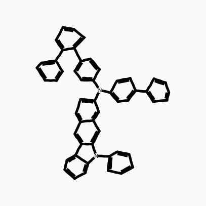 c1ccc(-c2ccc(N(c3ccc(-c4ccccc4-c4ccccc4)cc3)c3ccc4cc5c6ccccc6n(-c6ccccc6)c5cc4c3)cc2)cc1